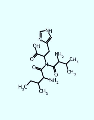 CCC(C)C(N)C(=O)N(C(=O)C(N)C(C)C)C(Cc1c[nH]cn1)C(=O)O